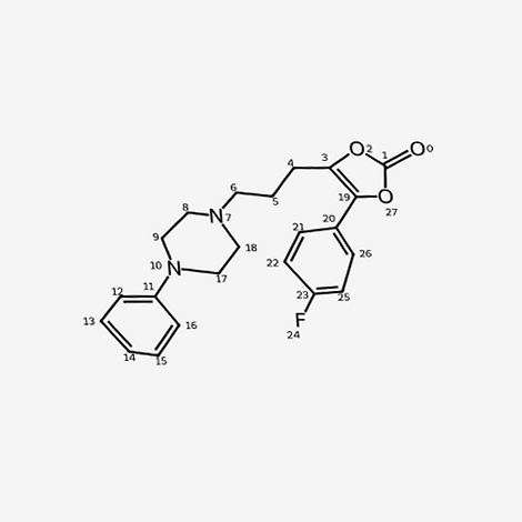 O=c1oc(CCCN2CCN(c3ccccc3)CC2)c(-c2ccc(F)cc2)o1